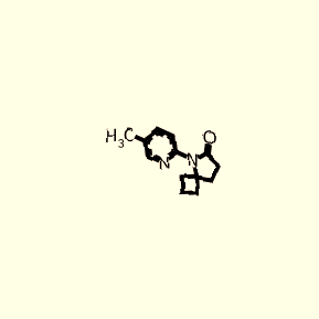 Cc1ccc(N2C(=O)CCC23CCC3)nc1